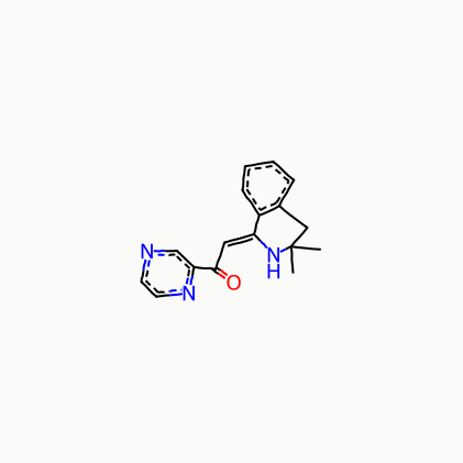 CC1(C)Cc2ccccc2C(=CC(=O)c2cnccn2)N1